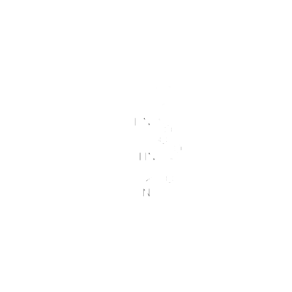 CC(C)CCC(NC(=O)c1ccccc1)C(=O)NC1C(=O)CO[C@H]1CN1CCCC1